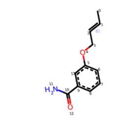 C/C=C/COc1cccc(C(N)=O)c1